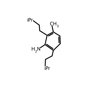 Cc1ccc(CCC(C)C)c(N)c1CCC(C)C